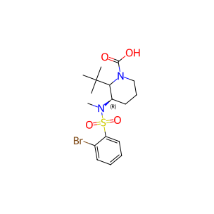 CN([C@@H]1CCCN(C(=O)O)C1C(C)(C)C)S(=O)(=O)c1ccccc1Br